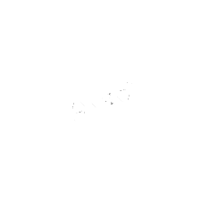 COC(=O)c1cccc(C2=CCN(S(=O)(=O)c3cccc(C(F)(F)F)c3)CC2)n1